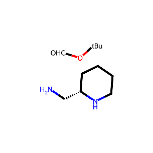 CC(C)(C)OC=O.NC[C@@H]1CCCCN1